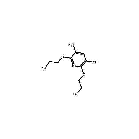 Nc1cc(O)c(OCCO)nc1OCCO